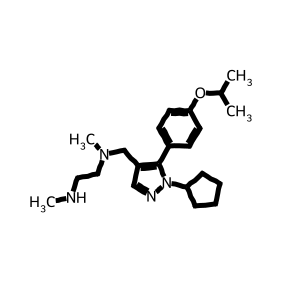 CNCCN(C)Cc1cnn(C2CCCC2)c1-c1ccc(OC(C)C)cc1